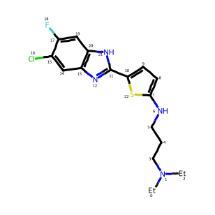 CCN(CC)CCCNc1ccc(-c2nc3cc(Cl)c(F)cc3[nH]2)s1